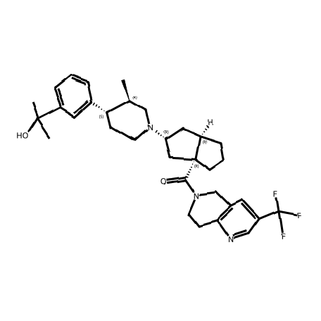 C[C@H]1CN([C@@H]2C[C@H]3CCC[C@@]3(C(=O)N3CCc4ncc(C(F)(F)F)cc4C3)C2)CC[C@@H]1c1cccc(C(C)(C)O)c1